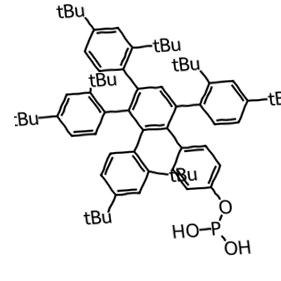 CC(C)(C)c1ccc(-c2cc(-c3ccc(C(C)(C)C)cc3C(C)(C)C)c(-c3ccc(C(C)(C)C)cc3C(C)(C)C)c(-c3ccc(C(C)(C)C)cc3C(C)(C)C)c2-c2ccc(OP(O)O)cc2)c(C(C)(C)C)c1